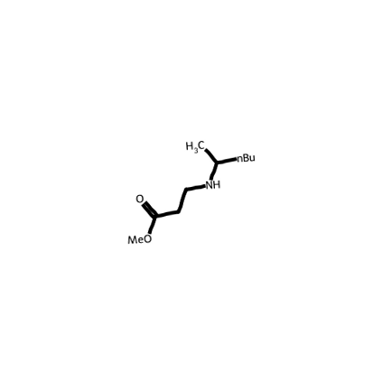 CCCCC(C)NCCC(=O)OC